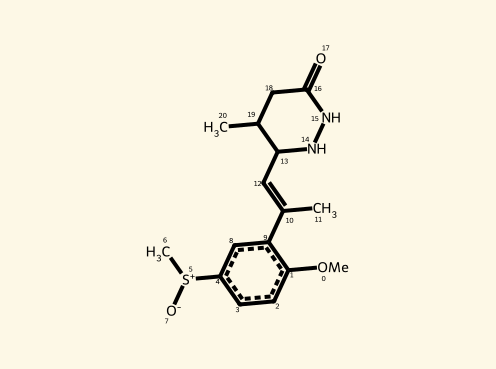 COc1ccc([S+](C)[O-])cc1/C(C)=C/C1NNC(=O)CC1C